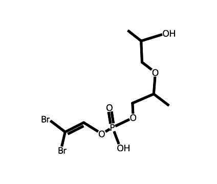 CC(O)COC(C)COP(=O)(O)OC=C(Br)Br